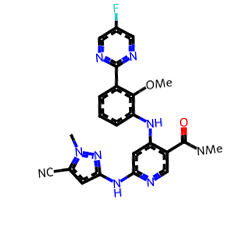 CNC(=O)c1cnc(Nc2cc(C#N)n(C)n2)cc1Nc1cccc(-c2ncc(F)cn2)c1OC